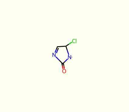 O=C1[N]C(Cl)C=N1